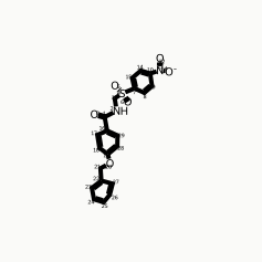 O=C(NCS(=O)(=O)c1ccc([N+](=O)[O-])cc1)c1ccc(OCc2ccccc2)cc1